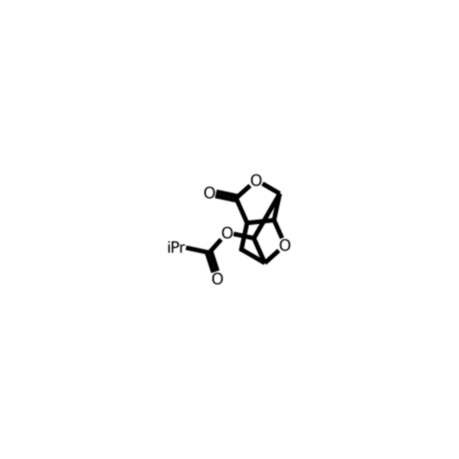 CC(C)C(=O)OC1C2CC3C(=O)OC1C3O2